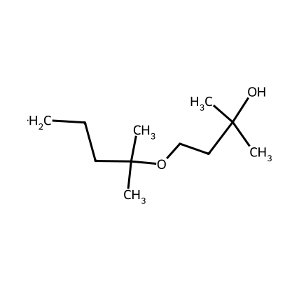 [CH2]CCC(C)(C)OCCC(C)(C)O